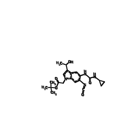 CC(O)c1cn(CC(=O)OC(C)(C)C)c2cc(N=C=O)c(NC(=O)NC3CC3)cc12